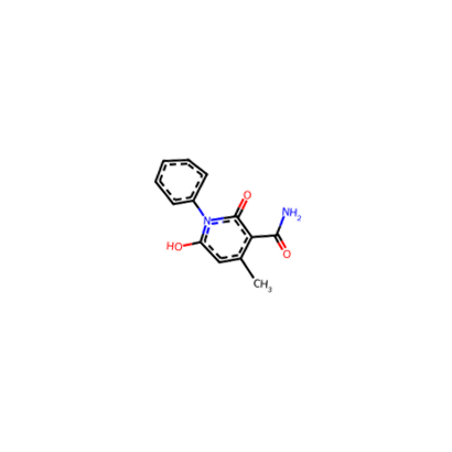 Cc1cc(O)n(-c2ccccc2)c(=O)c1C(N)=O